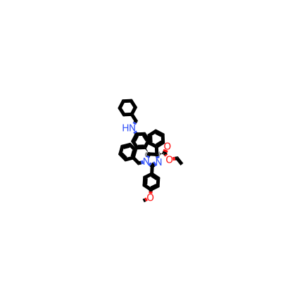 CCOC(=O)[C@]1(c2ccccc2)N=C(c2ccc(OC)cc2)N(Cc2ccccc2)[C@@H]1c1ccc(NCC2CCCCC2)cc1